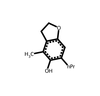 CCCc1cc2c(c(C)c1O)CCO2